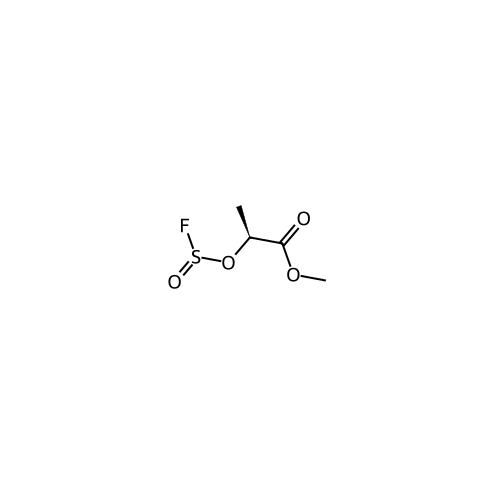 COC(=O)[C@H](C)OS(=O)F